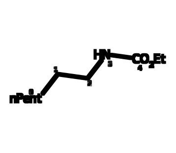 CCC[CH]CCCNC(=O)OCC